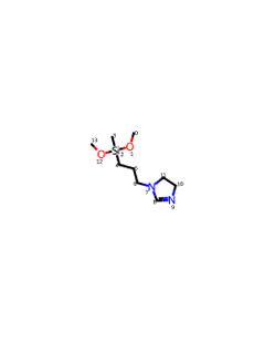 CO[Si](C)(CCCN1C=NCC1)OC